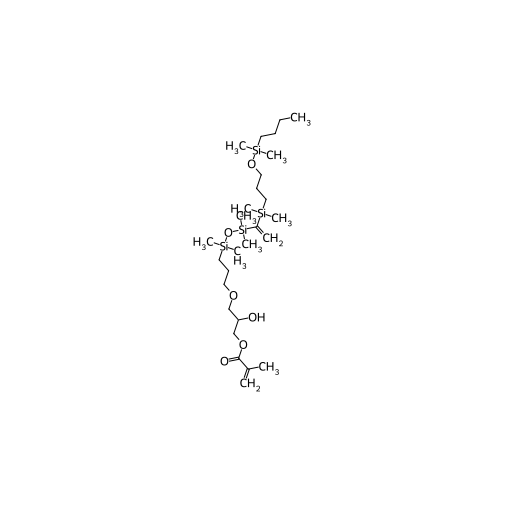 C=C(C)C(=O)OCC(O)COCCC[Si](C)(C)O[Si](C)(C)C(=C)[Si](C)(C)CCCO[Si](C)(C)CCCC